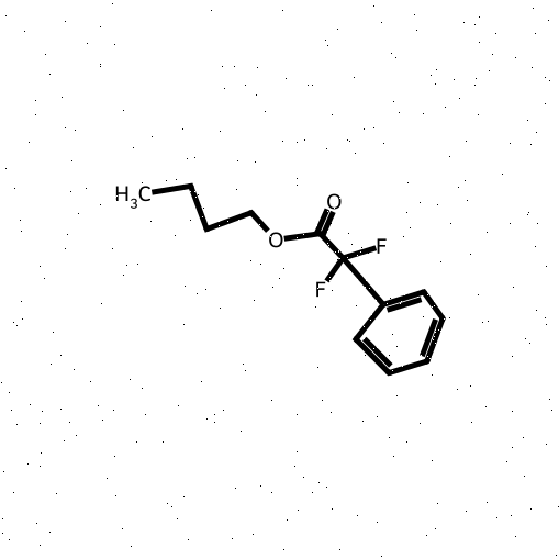 CCCCOC(=O)C(F)(F)c1ccccc1